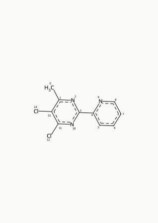 Cc1nc(-c2ccccn2)nc(Cl)c1Cl